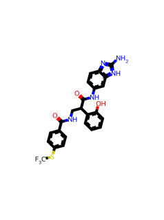 Nc1nc2ccc(NC(=O)C(CNC(=O)c3ccc(SC(F)(F)F)cc3)c3ccccc3O)cc2[nH]1